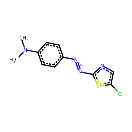 CN(C)c1ccc(/N=N/c2ncc(Cl)s2)cc1